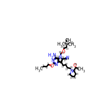 CCCCOc1nc(N)c2c(n1)c(CCCCN1CCCCC1C(C)=O)c(C#N)n2COCC[Si](C)(C)C